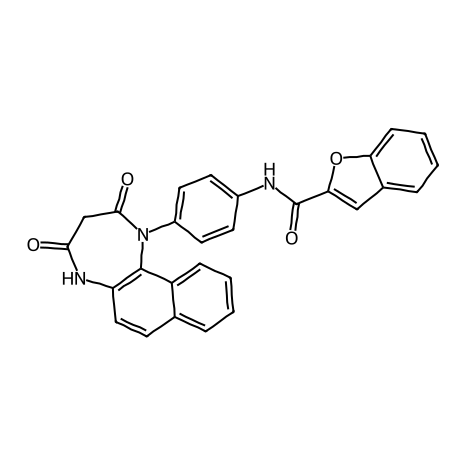 O=C1CC(=O)N(c2ccc(NC(=O)c3cc4ccccc4o3)cc2)c2c(ccc3ccccc23)N1